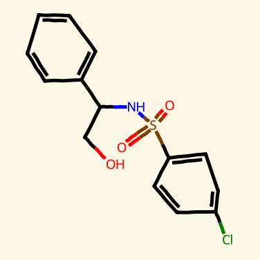 O=S(=O)(NC(CO)c1ccccc1)c1ccc(Cl)cc1